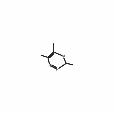 CC1=C(C)NC(C)N=N1